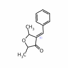 CC1OC(C)/C(=C\c2ccccc2)C1=O